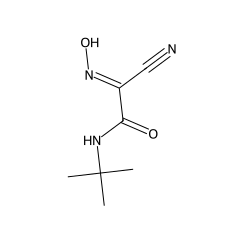 CC(C)(C)NC(=O)C(C#N)=NO